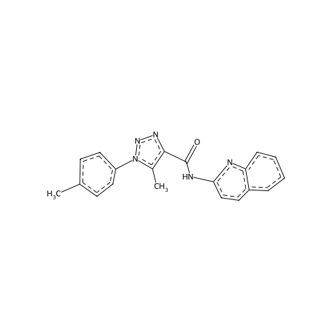 Cc1ccc(-n2nnc(C(=O)Nc3ccc4ccccc4n3)c2C)cc1